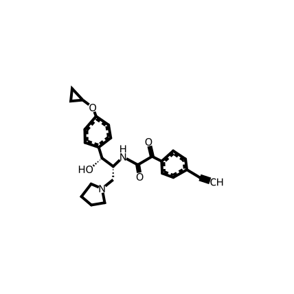 C#Cc1ccc(C(=O)C(=O)N[C@H](CN2CCCC2)[C@H](O)c2ccc(OC3CC3)cc2)cc1